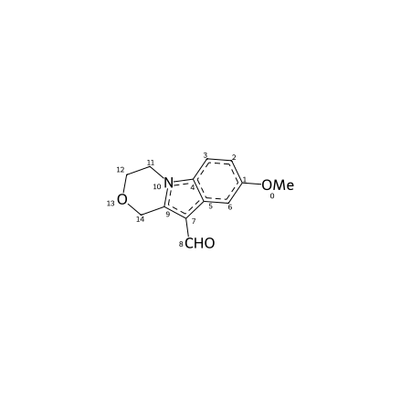 COc1ccc2c(c1)c(C=O)c1n2CCOC1